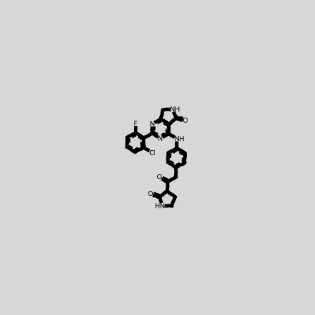 O=C1NCc2nc(-c3c(F)cccc3Cl)nc(Nc3ccc(CC(=O)C4CCNC4=O)cc3)c21